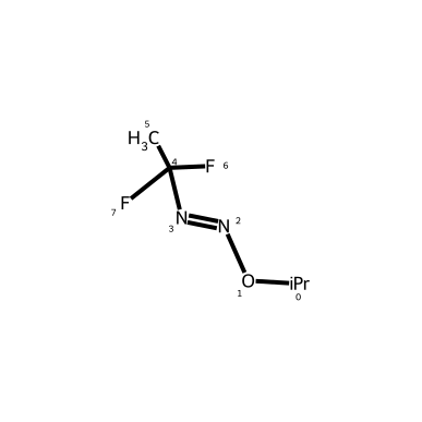 CC(C)ON=NC(C)(F)F